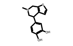 CN1Cc2sccc2C(c2ccc(O)c(O)c2)C1